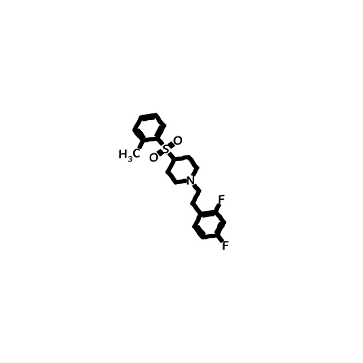 Cc1ccccc1S(=O)(=O)C1CCN(CCc2ccc(F)cc2F)CC1